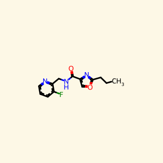 CCCc1nc(C(=O)NCc2ncccc2F)co1